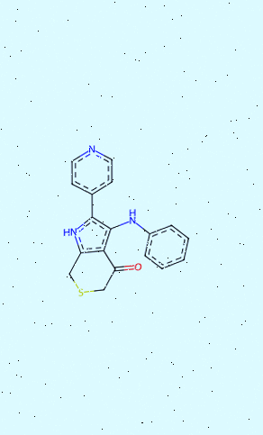 O=C1CSCc2[nH]c(-c3ccncc3)c(Nc3ccccc3)c21